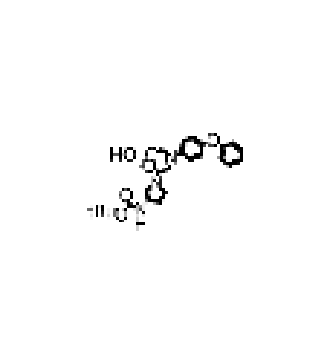 CC(C)(C)OC(=O)N[C@H]1CCN(C(=O)CN(CC(=O)O)c2ccc(Oc3ccccc3)cc2)C1